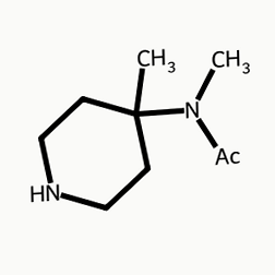 CC(=O)N(C)C1(C)CCNCC1